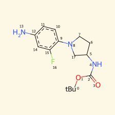 CC(C)(C)OC(=O)NC1CCN(c2ccc(N)cc2F)C1